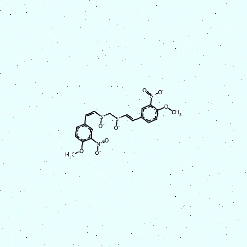 COc1ccc(C=C[S+]([O-])C[S+]([O-])/C=C\c2ccc(OC)c([N+](=O)[O-])c2)cc1[N+](=O)[O-]